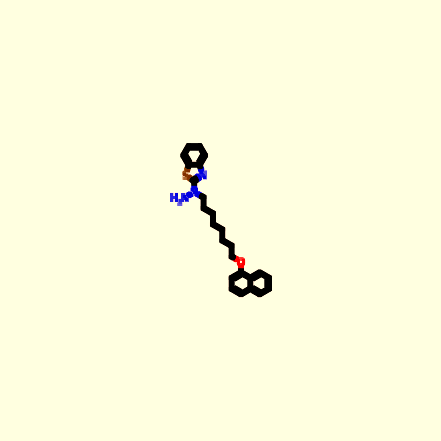 NN(CCCCCCCCOc1cccc2ccccc12)c1nc2ccccc2s1